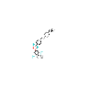 CCCC1CCC(CCc2ccc(C(F)(F)Oc3cc(F)c(C#N)c(F)c3)cc2)CC1